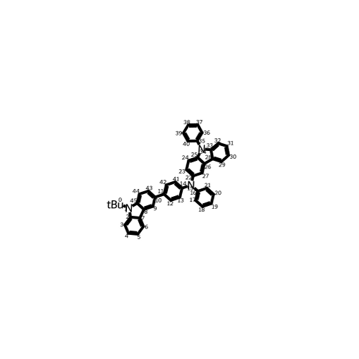 CC(C)(C)n1c2ccccc2c2cc(-c3ccc(N(c4ccccc4)c4ccc5c(c4)c4ccccc4n5-c4ccccc4)cc3)ccc21